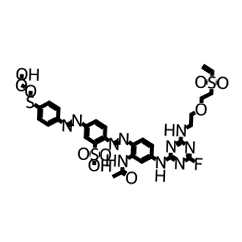 C=CS(=O)(=O)CCOCCNc1nc(F)nc(Nc2ccc(/N=N/c3ccc(/N=N/c4ccc(SOOO)cc4)cc3S(=O)(=O)O)c(NC(C)=O)c2)n1